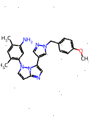 COc1ccc(Cn2cc(-c3cnc4ccn(-c5cc(N)c(C)cc5C)n34)cn2)cc1